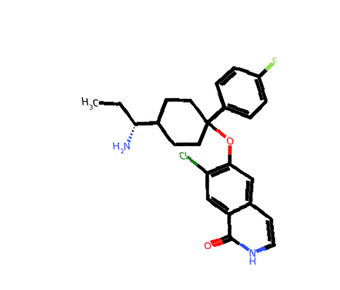 CC[C@@H](N)C1CCC(Oc2cc3cc[nH]c(=O)c3cc2Cl)(c2ccc(F)cc2)CC1